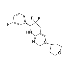 Fc1cccc([C@@H]2NC3=NCN(C4CCOCC4)C=C3CC2(F)F)c1